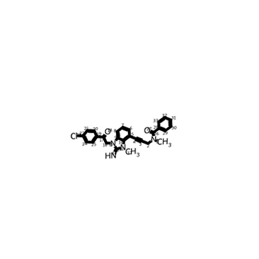 CN(CC#Cc1cccc2c1n(C)c(=N)n2CC(=O)c1ccc(Cl)cc1)C(=O)c1ccccc1